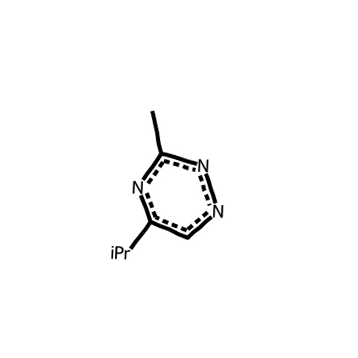 Cc1nncc(C(C)C)n1